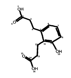 O=C(O)CCc1cccc(O)c1CCC(=O)O